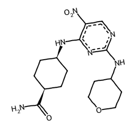 NC(=O)[C@H]1CC[C@@H](Nc2nc(NC3CCOCC3)ncc2[N+](=O)[O-])CC1